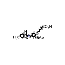 COc1cc(/C=C/C(=O)NC2CCC(C)CC2)ccc1OCCCCCC(=O)O